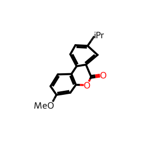 COc1ccc2c(c1)oc(=O)c1cc(C(C)C)ccc12